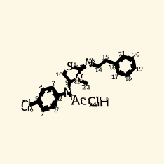 CC(=O)N(c1ccc(Cl)cc1)C1CSC(=NCCc2ccccc2)N1C.Cl